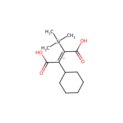 C[Si](C)(C)/C(C(=O)O)=C(\C(=O)O)C1CCCCC1